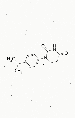 CC(C)c1ccc(N2CCC(=O)NC2=O)cc1